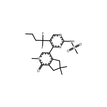 CCCC(F)(F)c1cnc(NS(C)(=O)=O)nc1-c1cn(C)c(=O)c2c1CC(C)(C)C2